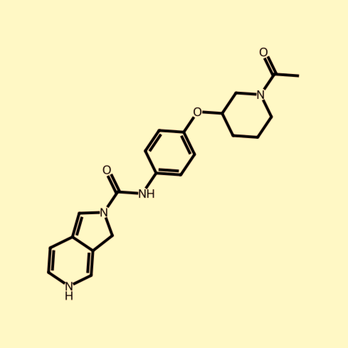 CC(=O)N1CCCC(Oc2ccc(NC(=O)N3C=C4C=CNC=C4C3)cc2)C1